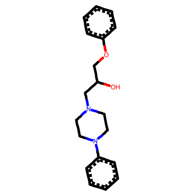 OC(COc1ccccc1)CN1CCN(c2ccccc2)CC1